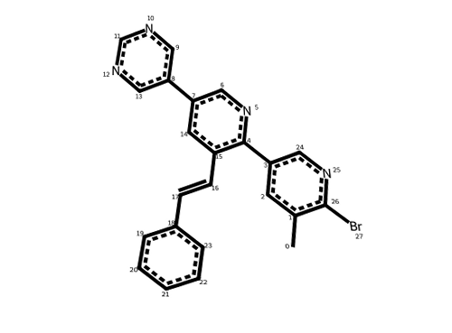 Cc1cc(-c2ncc(-c3cncnc3)cc2C=Cc2ccccc2)cnc1Br